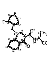 CC(NC(=O)c1cn(Cc2ccccc2F)c2ccccc2c1=O)C(=O)O